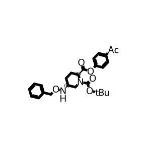 CC(=O)c1ccc(OC(=O)[C@@H]2CC[C@@H](NOCc3ccccc3)CN2C(=O)OC(C)(C)C)cc1